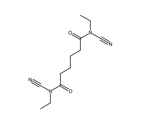 CCN(C#N)C(=O)CCCCC(=O)N(C#N)CC